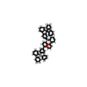 c1ccc(-c2ccccc2N(c2ccc(-c3ccc([Si](c4ccccc4)(c4ccccc4)c4ccccc4)cc3)cc2)c2ccc3c(c2)C(c2ccccc2)(c2ccccc2)c2ccccc2-3)cc1